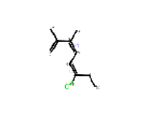 C=C(C)/C(C)=C\C=C(\Cl)CC